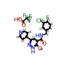 O=C(NCc1ccc(F)c(Cl)c1)c1cc(-c2ccncc2)n[nH]c1=O.O=C(O)C(F)(F)F